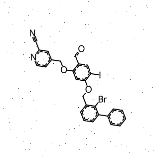 N#Cc1cc(COc2cc(OCc3cccc(-c4ccccc4)c3Br)c(I)cc2C=O)ccn1